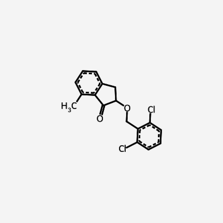 Cc1cccc2c1C(=O)C(OCc1c(Cl)cccc1Cl)C2